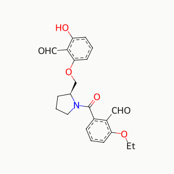 CCOc1cccc(C(=O)N2CCC[C@H]2COc2cccc(O)c2C=O)c1C=O